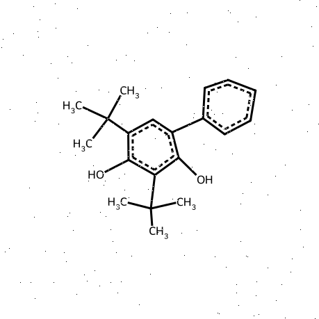 CC(C)(C)c1cc(-c2ccccc2)c(O)c(C(C)(C)C)c1O